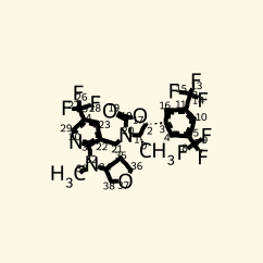 C[C@H]1[C@@H](c2cc(C(F)(F)F)cc(C(F)(F)F)c2)OC(=O)N1Cc1cc(C(F)(F)F)cnc1N(C)C1CCOC1